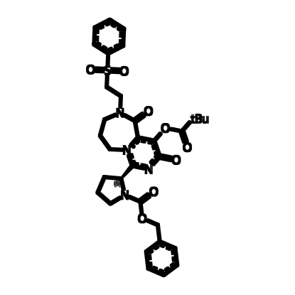 CC(C)(C)C(=O)Oc1c2n(c([C@@H]3CCCN3C(=O)OCc3ccccc3)nc1=O)CCCN(CCS(=O)(=O)c1ccccc1)C2=O